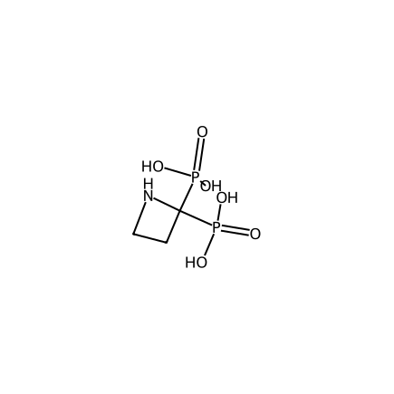 O=P(O)(O)C1(P(=O)(O)O)CCN1